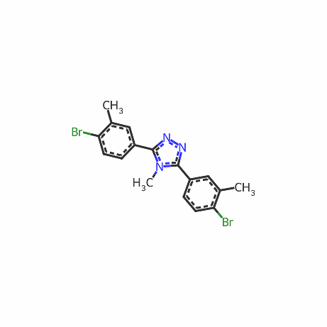 Cc1cc(-c2nnc(-c3ccc(Br)c(C)c3)n2C)ccc1Br